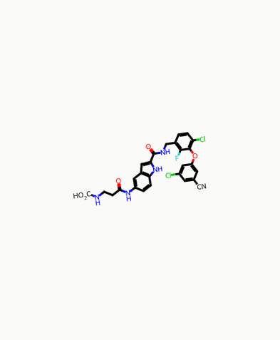 N#Cc1cc(Cl)cc(Oc2c(Cl)ccc(CNC(=O)c3cc4cc(NC(=O)CCNC(=O)O)ccc4[nH]3)c2F)c1